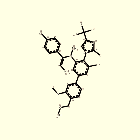 CSc1cc(-c2cc(F)c(-n3cc(C(F)(F)F)nc3C)c(N(N)/C(=C\N)c3ccc(Cl)cc3)c2)ccc1COO